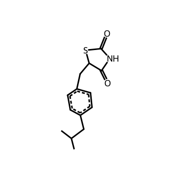 CC(C)Cc1ccc(CC2SC(=O)NC2=O)cc1